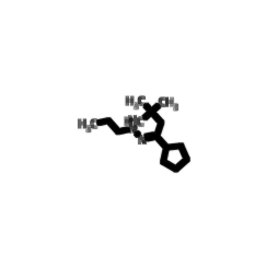 CCCNN=C(CC(C)(C)C)C1CCCC1